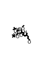 CCOC(=O)c1c(N(C(=O)OC(C)(C)C)C(=O)OC(C)(C)C)oc2cc(C=CCOC)cnc12